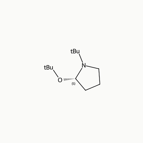 CC(C)(C)O[C@H]1CCCN1C(C)(C)C